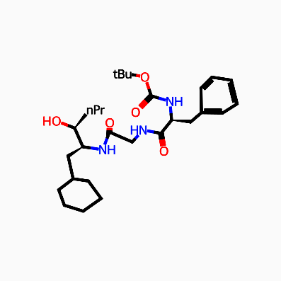 [CH2]CC[C@H](O)[C@H](CC1CCCCC1)NC(=O)CNC(=O)[C@H](Cc1ccccc1)NC(=O)OC(C)(C)C